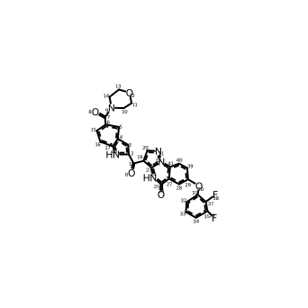 O=C(c1cc2cc(C(=O)N3CCOCC3)ccc2[nH]1)c1cnn2c1[nH]c(=O)c1cc(Oc3cccc(F)c3F)ccc12